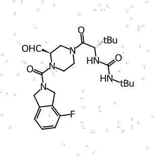 CC(C)(C)NC(=O)N[C@H](C(=O)N1CCN(C(=O)N2Cc3cccc(F)c3C2)[C@@H](C=O)C1)C(C)(C)C